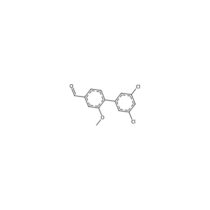 COc1cc(C=O)ccc1-c1cc(Cl)cc(Cl)c1